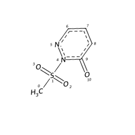 CS(=O)(=O)n1ncccc1=O